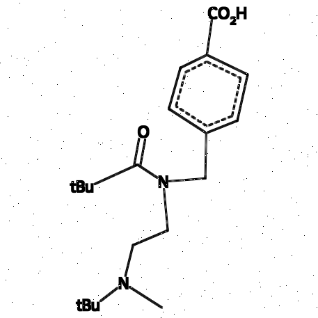 CN(CCN(Cc1ccc(C(=O)O)cc1)C(=O)C(C)(C)C)C(C)(C)C